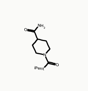 CCCC(C)C(=O)N1CCC(C(N)=O)CC1